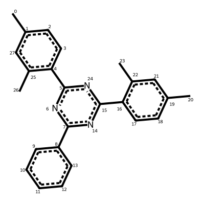 Cc1ccc(-c2nc(-c3ccccc3)nc(-c3ccc(C)cc3C)n2)c(C)c1